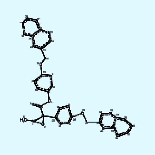 CN1OC1(C(=O)Oc1ccc(OCc2cnc3ccccc3n2)cc1)c1ccc(OCc2cnc3ccccc3n2)cc1